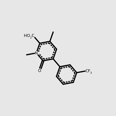 Cc1cc(-c2cccc(C(F)(F)F)c2)c(=O)n(C)c1C(=O)O